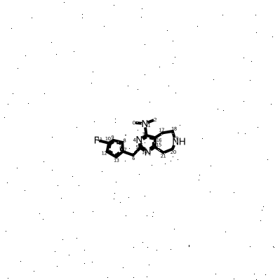 CN(C)c1nc(Cc2ccc(F)cc2)nc2c1CCNCC2